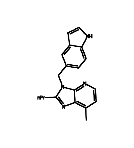 CCCc1nc2c(C)ccnc2n1Cc1ccc2[nH]ccc2c1